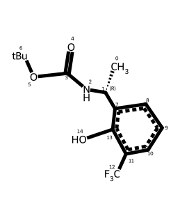 C[C@@H](NC(=O)OC(C)(C)C)c1cccc(C(F)(F)F)c1O